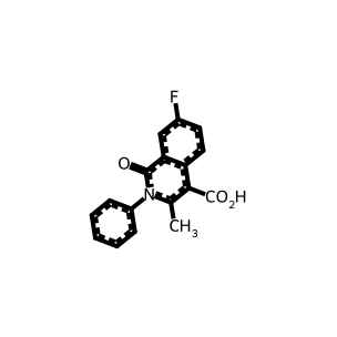 Cc1c(C(=O)O)c2ccc(F)cc2c(=O)n1-c1ccccc1